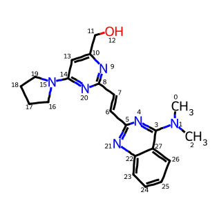 CN(C)c1nc(C=Cc2nc(CO)cc(N3CCCC3)n2)nc2ccccc12